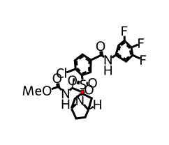 COC(=O)N[C@@H](C)C(=O)N1C2CC[C@H]1C[C@H](S(=O)(=O)c1cc(C(=O)Nc3cc(F)c(F)c(F)c3)ccc1Cl)C2